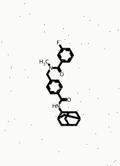 CN(Cc1ccc(C(=O)NC2C3CC4CC(C3)CC2C4)cc1)C(=O)c1cccc(F)c1